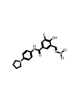 CCN(CC)/N=C/c1cc(C(=O)Nc2ccc(N3CCCC3)cc2)cc(F)c1O